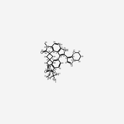 [2H]C([2H])([2H])n1ncc2cc(-c3c(-c4cnn5c4OCCC5)[nH]c4ncc5c(c34)C3(CC4(CN(S(=O)(=O)CC)C4)C3)C(=O)N5C)ccc21